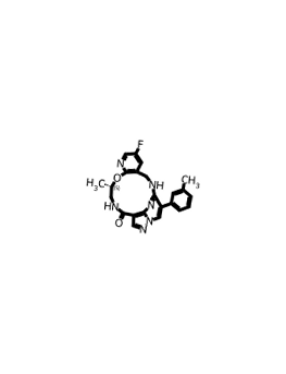 Cc1cccc(-c2cn3ncc4c3nc2NCc2cc(F)cnc2O[C@@H](C)CNC4=O)c1